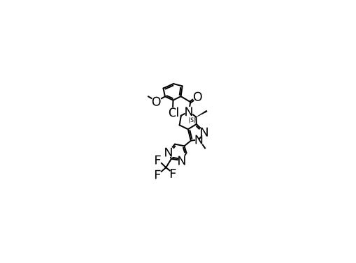 COc1cccc(C(=O)N2CCc3c(nn(C)c3-c3cnc(C(F)(F)F)nc3)[C@@H]2C)c1Cl